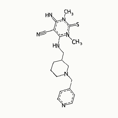 Cn1c(NCC2CCCN(Cc3ccncc3)C2)c(C#N)c(=N)n(C)c1=S